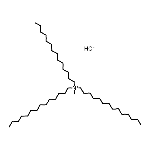 CCCCCCCCCCCCCC[N+](C)(CCCCCCCCCCCCCC)CCCCCCCCCCCCCC.[OH-]